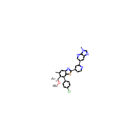 CC(=O)[C@@H](OC(C)(C)C)c1c(C)cc2nc(-c3ccnc(-c4cnc5c(c4)ncn5C)c3)sc2c1-c1ccc(Cl)cc1